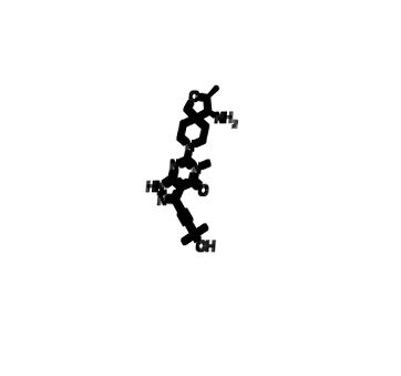 C[C@@H]1OCC2(CCN(c3nc4[nH]nc(C#CC(C)(C)O)c4c(=O)n3C)CC2)[C@@H]1N